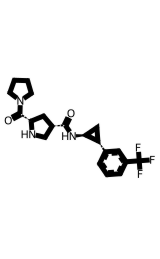 O=C(N[C@H]1C[C@@H]1c1cccc(C(F)(F)F)c1)[C@@H]1CN[C@H](C(=O)N2CCCC2)C1